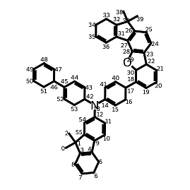 CC1(C)C2=C(CCC=C2)c2ccc(N(C3=CCC(C4=CC=CC5c6ccc7c(c6OC45)C4=C(CCC=C4)C7(C)C)C=C3)C3C=CC(C4C=CC=CC4)=CC3)cc21